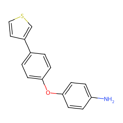 Nc1ccc(Oc2ccc(-c3ccsc3)cc2)cc1